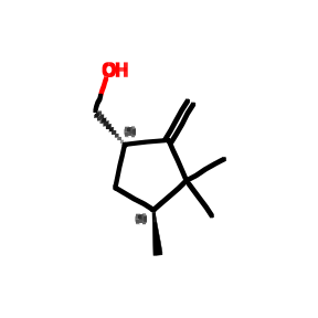 C=C1[C@@H](CO)C[C@H](C)C1(C)C